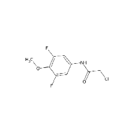 COc1c(F)cc(NC(=O)CCl)cc1F